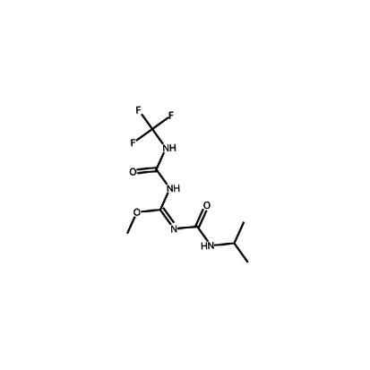 COC(=NC(=O)NC(C)C)NC(=O)NC(F)(F)F